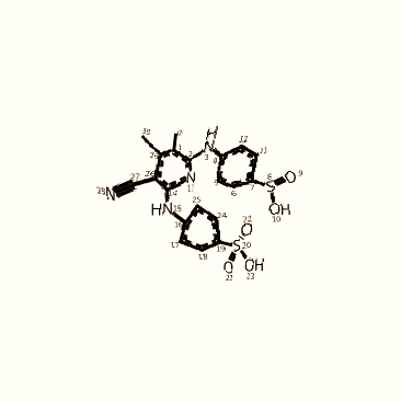 Cc1c(Nc2ccc(S(=O)O)cc2)nc(Nc2ccc(S(=O)(=O)O)cc2)c(C#N)c1C